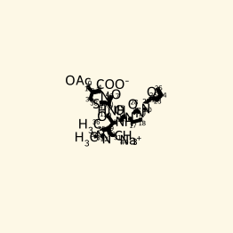 CC(=O)OCC1=C(C(=O)[O-])N2C(=O)[C@@H](NC(=O)C(NC(=O)N3CCN(N=Cc4ccco4)C3=O)c3c(C)nn(C)c3C)[C@H]2SC1.[Na+]